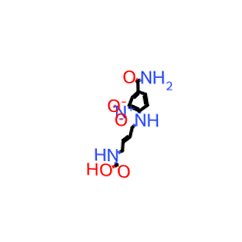 NC(=O)c1ccc(NC/C=C/CNC(=O)O)c([N+](=O)[O-])c1